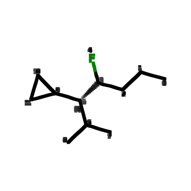 CCCC(F)[C@H](C(C)C)C1CC1